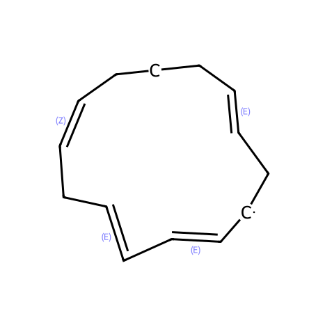 [CH]1/C=C/C=C/C/C=C\CCC/C=C/C1